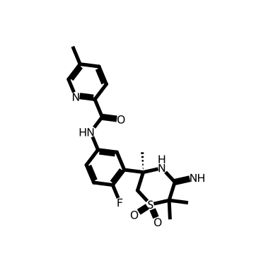 Cc1ccc(C(=O)Nc2ccc(F)c([C@]3(C)CS(=O)(=O)C(C)(C)C(=N)N3)c2)nc1